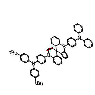 CC(C)(C)c1ccc(N(c2ccc(B3c4ccccc4C4(c5ccccc5B(c5ccc(N(c6ccccc6)c6ccccc6)cc5)C5C=CC=CC54)C4C=CC=CC34)cc2)c2ccc(C(C)(C)C)cc2)cc1